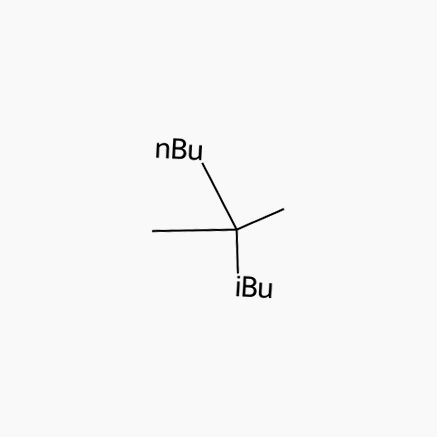 C[CH]C(C)C(C)(C)CCCC